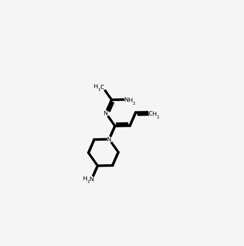 C=C/C=C(\N=C(\C)N)N1CCC(N)CC1